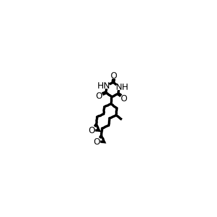 CC(CCCC1CO1)CC(CCCC1CO1)C1C(=O)NC(=O)NC1=O